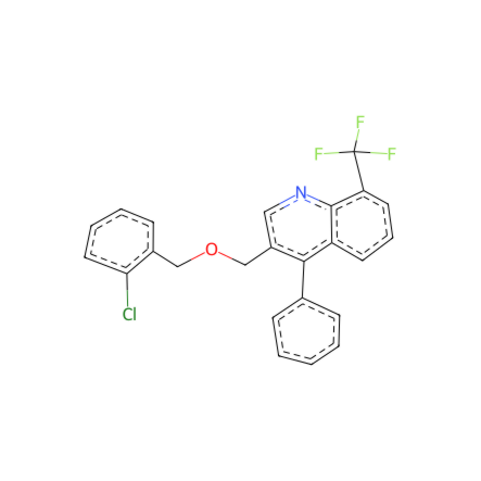 FC(F)(F)c1cccc2c(-c3ccccc3)c(COCc3ccccc3Cl)cnc12